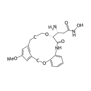 COc1cc2cc(c1)COc1ccccc1NC(=O)[C@@H]([C@H](N)CC(=O)NO)OCCC2